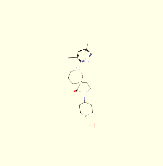 Cc1cc(Cl)cnc1N1CCCC2(CCN(C3CCC(O)CC3)C2=O)C1